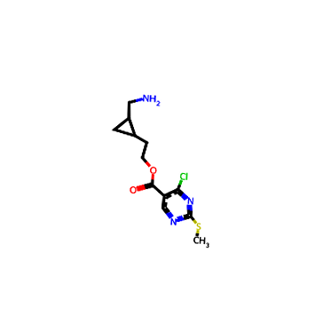 CSc1ncc(C(=O)OCCC2CC2CN)c(Cl)n1